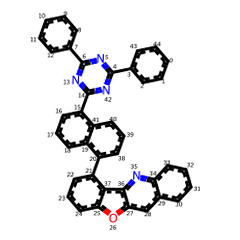 c1ccc(-c2nc(-c3ccccc3)nc(-c3cccc4c(-c5cccc6oc7cc8ccccc8nc7c56)cccc34)n2)cc1